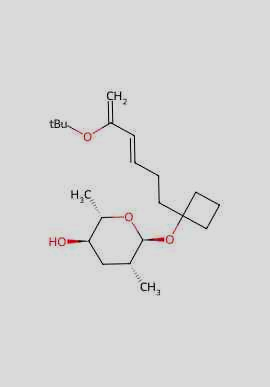 C=C(/C=C/CCC1(O[C@@H]2O[C@@H](C)[C@H](O)C[C@H]2C)CCC1)OC(C)(C)C